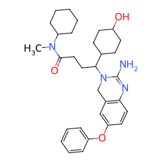 CN(C(=O)CCC(C1CCC(O)CC1)N1Cc2cc(Oc3ccccc3)ccc2N=C1N)C1CCCCC1